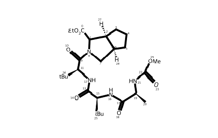 CCOC(=O)C1[C@H]2CCC[C@H]2CN1C(=O)[C@@H](NC(=O)[C@@H](NC(=O)[C@H](C)NC(=O)OC)C(C)(C)C)C(C)(C)C